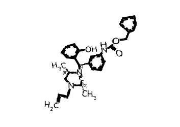 C=CCN1C[C@@H](C)N([C@H](c2cccc(NC(=O)OCc3ccccc3)c2)c2ccccc2O)C[C@@H]1C